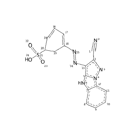 N#Cc1nn2c([nH]c3ccccc32)c1/N=N/C1=CC=CC(S(=O)(=O)O)C1